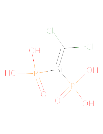 O=P(O)(O)[Si](=C(Cl)Cl)P(=O)(O)O